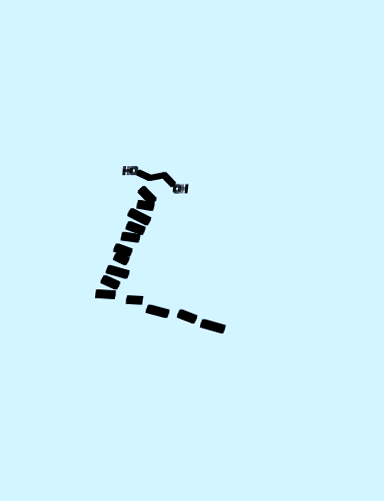 C=C.C=C.C=C.C=C.C=C.C=C.C=C.C=C.C=C.C=C.C=C.C=C.C=C.C=C.OCCO